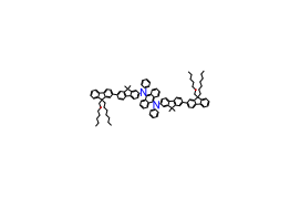 CCCCCCCC1(CCCCCCC)c2ccccc2-c2ccc(-c3ccc4c(c3)C(C)(C)c3cc(N(c5ccccc5)c5c6ccccc6c(N(c6ccccc6)c6ccc7c(c6)C(C)(C)c6cc(-c8ccc9c(c8)C(CCCCCCC)(CCCCCCC)c8ccccc8-9)ccc6-7)c6ccccc56)ccc3-4)cc21